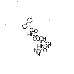 Cn1cc(-c2ccc(C[C@H](NC(=O)OCC3c4ccccc4-c4ccccc43)C(=O)O)cc2)c(NC(=O)c2cncnc2)n1